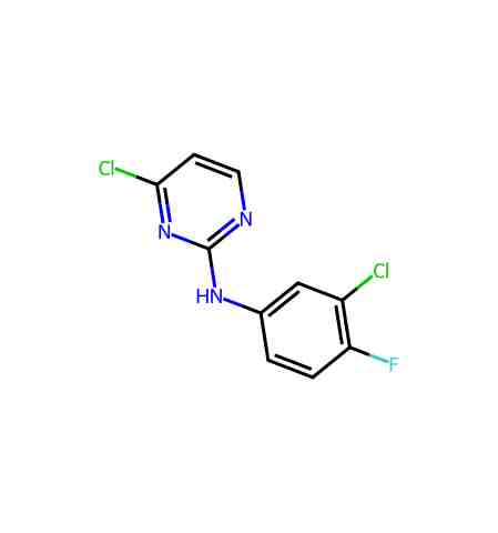 Fc1ccc(Nc2nccc(Cl)n2)cc1Cl